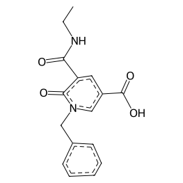 CCNC(=O)c1cc(C(=O)O)cn(Cc2ccccc2)c1=O